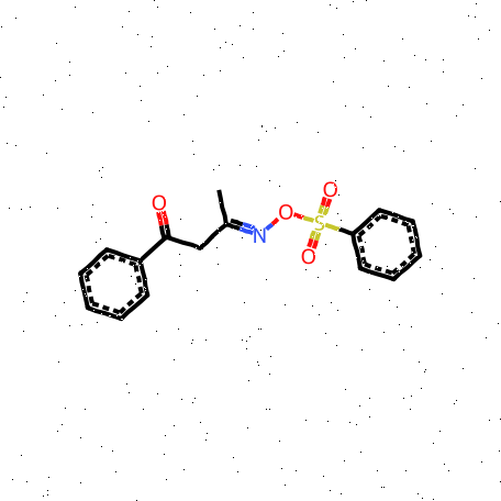 C/C(CC(=O)c1ccccc1)=N\OS(=O)(=O)c1ccccc1